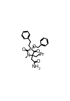 CC(C)CC1(CC(N)=O)C(=O)[N+](CCc2ccccc2)(OCc2ccccc2)C(=O)N1C